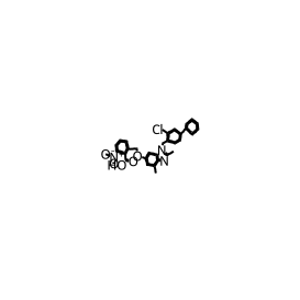 Cc1cc(OCc2cccc([N+](=O)[O-])c2C(=O)O)cc2c1nc(C)n2Cc1ccc(-c2ccccc2)cc1Cl